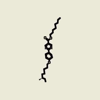 CCCCCCCCOC(=O)c1cnc(-c2ccc(OCCCCC[C@@H](C)CC)cc2)nc1